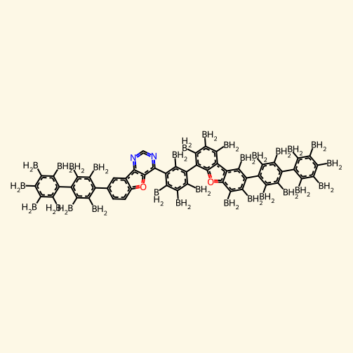 Bc1c(B)c(B)c(-c2c(B)c(B)c(-c3ccc4oc5c(-c6c(B)c(B)c(B)c(-c7c(B)c(B)c(B)c8c7oc7c(B)c(B)c(-c9c(B)c(B)c(-c%10c(B)c(B)c(B)c(B)c%10B)c(B)c9B)c(B)c78)c6B)ncnc5c4c3)c(B)c2B)c(B)c1B